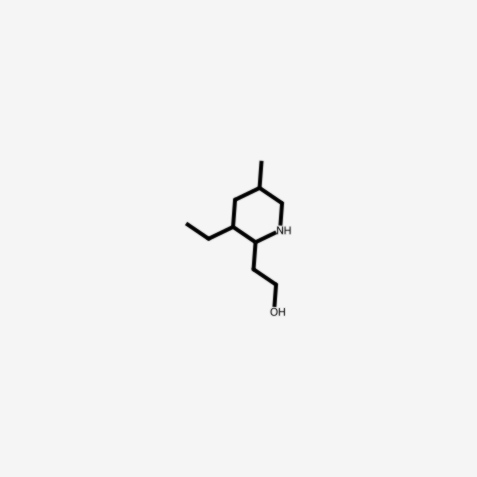 CCC1CC(C)CNC1CCO